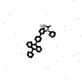 CC1Nc2ccc(-c3ccc(-c4c5ccccc5c(-c5ccccc5)c5ccccc45)cc3)cc2N1c1ccccc1